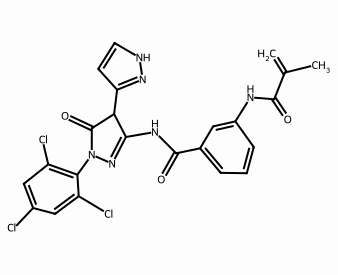 C=C(C)C(=O)Nc1cccc(C(=O)NC2=NN(c3c(Cl)cc(Cl)cc3Cl)C(=O)C2c2cc[nH]n2)c1